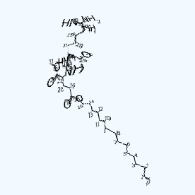 CCCCCCCCCCCCCCCCOC(=O)CCC(NN[C@@H](C=O)CCCNC(=N)N)C(=O)OC